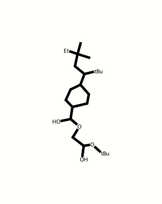 CCC(C)(C)CC(C1CCC(C(O)OCC(O)OC(C)(C)C)CC1)C(C)(C)C